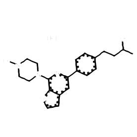 CCN1CCN(c2nc(-c3ccc(CCC(C)O)cc3)cc3ccoc23)CC1.Cl.Cl